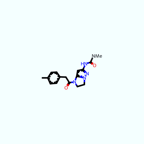 CNC(=O)Nc1cc2n(n1)CCN2C(=O)Cc1ccc(C)cc1